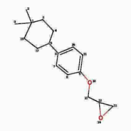 CC1(C)CCC(c2ccc(OCC3CO3)cc2)CC1